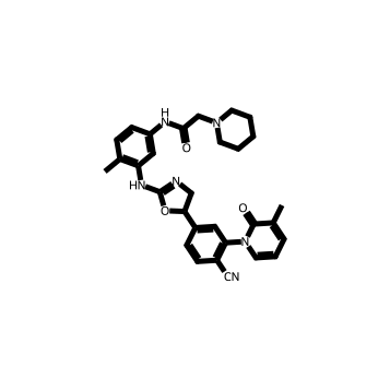 Cc1ccc(NC(=O)CN2CCCCC2)cc1NC1=NCC(c2ccc(C#N)c(-n3cccc(C)c3=O)c2)O1